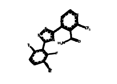 NC(=O)c1c(-c2nc(-c3c(F)ccc(Br)c3F)ns2)ccnc1C(F)(F)F